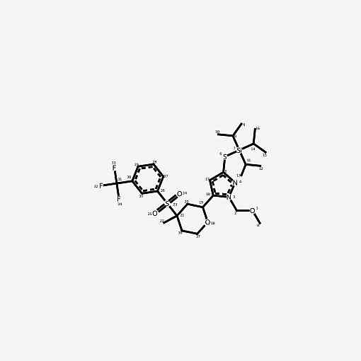 COCn1nc(S[Si](C(C)C)(C(C)C)C(C)C)cc1C1CC(C)(S(=O)(=O)c2cccc(C(F)(F)F)c2)CCO1